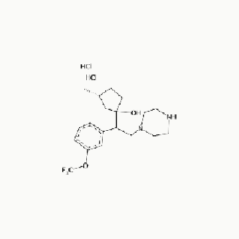 C[C@@H]1CCC(O)(C(CN2CCNCC2)c2cccc(OC(F)(F)F)c2)C1.Cl.Cl